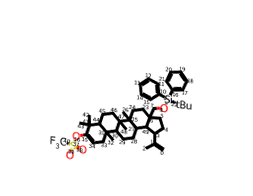 C=C(C)C1CCC2(CO[Si](c3ccccc3)(c3ccccc3)C(C)(C)C)CCC3(C)C(CCC4C5(C)CC=C(OS(=O)(=O)C(F)(F)F)C(C)(C)C5CCC43C)C12